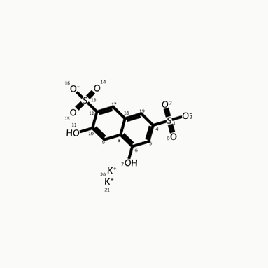 O=S(=O)([O-])c1cc(O)c2cc(O)c(S(=O)(=O)[O-])cc2c1.[K+].[K+]